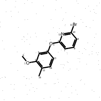 COc1cc(Oc2cccc(Br)n2)ccc1C